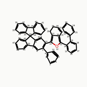 c1cccc(-c2cc3c(cc2-c2oc(-c4ccccc4-c4ccccc4)c4c2CCC=C4)C2(c4ccccc4-c4ccccc42)c2ccccc2-3)c#1